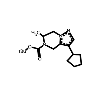 CC1Cn2ncc(C3CCCC3)c2CN1C(=O)OC(C)(C)C